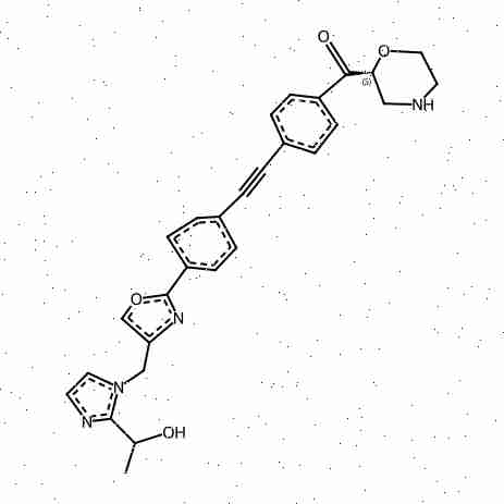 CC(O)c1nccn1Cc1coc(-c2ccc(C#Cc3ccc(C(=O)[C@@H]4CNCCO4)cc3)cc2)n1